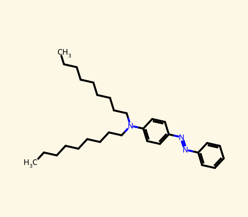 CCCCCCCCCN(CCCCCCCCC)c1ccc(N=Nc2ccccc2)cc1